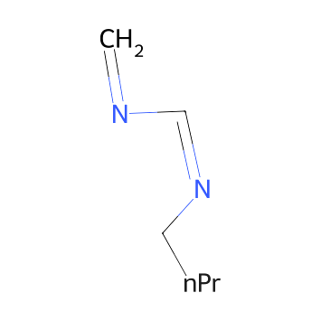 C=N/C=N\CCCC